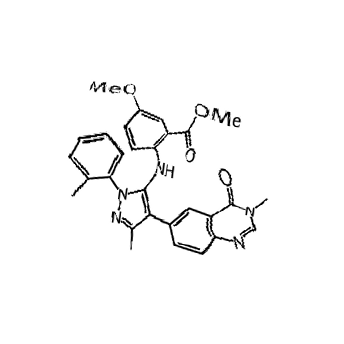 COC(=O)c1cc(OC)ccc1Nc1c(-c2ccc3ncn(C)c(=O)c3c2)c(C)nn1-c1ccccc1C